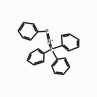 c1ccc(P=[N+]=P(c2ccccc2)(c2ccccc2)c2ccccc2)cc1